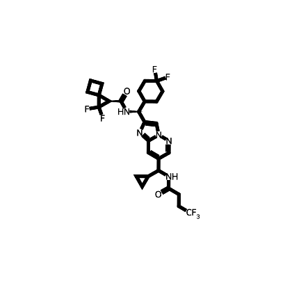 O=C(CCC(F)(F)F)NC(c1cnn2cc([C@@H](NC(=O)[C@H]3C(F)(F)C34CCC4)C3CCC(F)(F)CC3)nc2c1)C1CC1